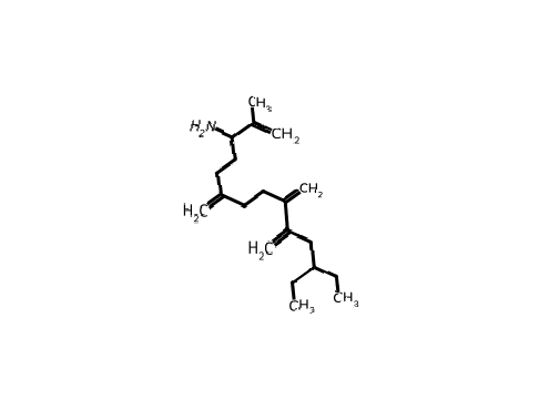 C=C(CCC(=C)C(=C)CC(CC)CC)CCC(N)C(=C)C